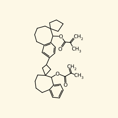 C=C(C)C(=O)OC1c2ccc(C3CC4(CCCCc5ccccc5C4OC(=O)C(=C)C)C3)cc2CCCCC12CCCC2